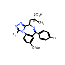 COc1ccc2c(c1)C(c1ccc(Cl)cc1)=NC(C[C@@H](C)S(=O)(=O)O)c1nnc(C)n1-2